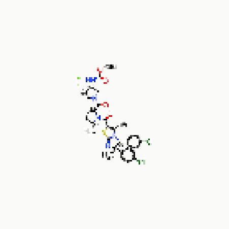 CC(C)C1=C(C(=O)N2[C@H](C)CC[C@H]2C(=O)N2C[C@H](CF)[C@H](NC(=O)OC(C)(C)C)C2)SC2=N[C@@](C)(c3ccc(Cl)cc3)[C@@H](c3ccc(Cl)cc3)N21